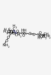 C=C(CC(C)(C)C)C(=O)NCCCOCCOCCCNC(=O)NCCOC(=O)/C(C)=C\C=C(\C)C(CC(C)(C)C)C(=O)NCCCOCCOCCCN